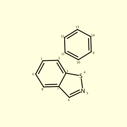 c1ccc2sncc2c1.c1ccccc1